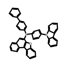 c1ccc(-c2ccc(N(c3ccc(-n4c5ccccc5c5ccccc54)cc3)c3cc4ccccc4c4c3oc3ccccc34)cc2)cc1